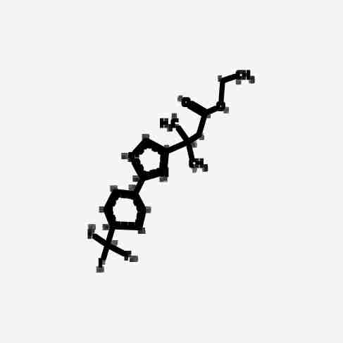 CCOC(=O)CC(C)(C)c1csc(-c2ccc(C(F)(F)F)cc2)n1